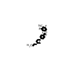 C=CCC[C@H]1CC[C@H](c2ccc(C(F)(F)Oc3cc(F)c(C#N)c(F)c3)cc2)CC1